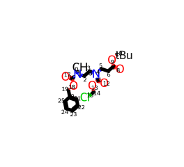 CN(CCN(CCC(=O)OC(C)(C)C)C(=O)OCCl)C(=O)OCc1ccccc1